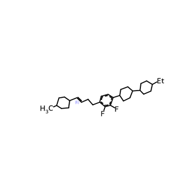 CCC1CCC(C2CCC(c3ccc(CC/C=C/C4CCC(C)CC4)c(F)c3F)CC2)CC1